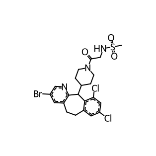 CS(=O)(=O)NCC(=O)N1CCC(C2c3ncc(Br)cc3CCc3cc(Cl)cc(Cl)c32)CC1